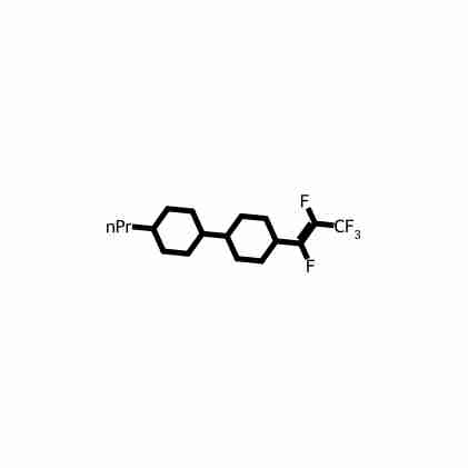 CCCC1CCC(C2CCC(/C(F)=C(\F)C(F)(F)F)CC2)CC1